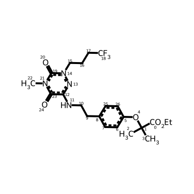 CCOC(=O)C(C)(C)Oc1ccc(CCNc2nn(CCCC(F)(F)F)c(=O)n(C)c2=O)cc1